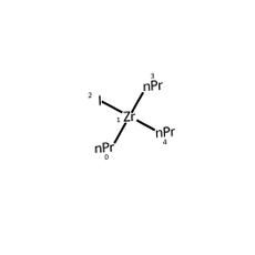 CC[CH2][Zr]([I])([CH2]CC)[CH2]CC